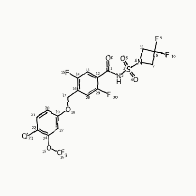 O=C(NS(=O)(=O)N1CC(F)(F)C1)c1cc(F)c(COc2ccc(Cl)c(OC(F)(F)F)c2)cc1F